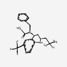 [2H]C([2H])([2H])C[C@@H]1C[C@H](N(Cc2ccccc2)C(=O)O)c2cc(C(F)(F)F)ccc2N1